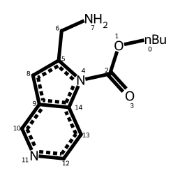 CCCCOC(=O)n1c(CN)cc2cnccc21